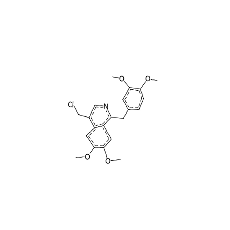 COc1ccc(Cc2ncc(CCl)c3cc(OC)c(OC)cc23)cc1OC